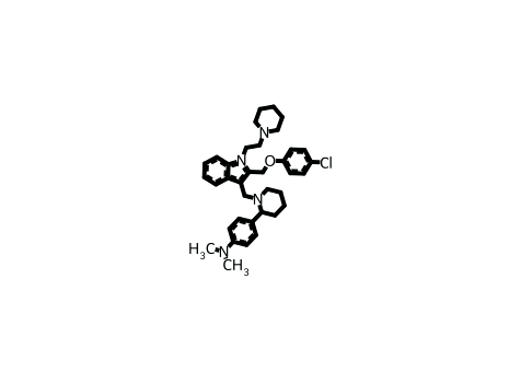 CN(C)c1ccc(C2CCCCN2Cc2c(COc3ccc(Cl)cc3)n(CCN3CCCCC3)c3ccccc23)cc1